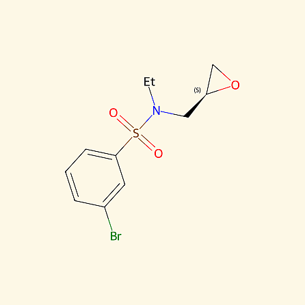 CCN(C[C@H]1CO1)S(=O)(=O)c1cccc(Br)c1